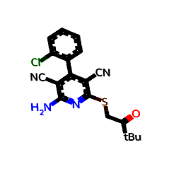 CC(C)(C)C(=O)CSc1nc(N)c(C#N)c(-c2ccccc2Cl)c1C#N